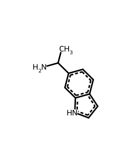 CC(N)c1ccc2cc[nH]c2c1